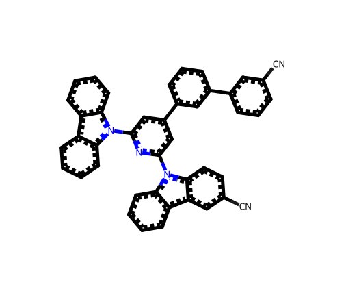 N#Cc1cccc(-c2cccc(-c3cc(-n4c5ccccc5c5ccccc54)nc(-n4c5ccccc5c5cc(C#N)ccc54)c3)c2)c1